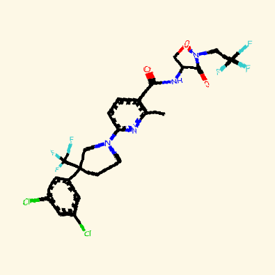 Cc1nc(N2CCC(c3cc(Cl)cc(Cl)c3)(C(F)(F)F)C2)ccc1C(=O)NC1CON(CC(F)(F)F)C1=O